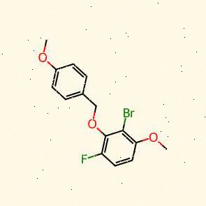 COc1ccc(COc2c(F)ccc(OC)c2Br)cc1